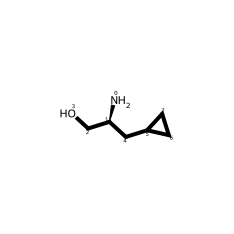 N[C@H](CO)CC1CC1